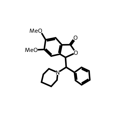 COc1cc2c(cc1OC)C(C(c1ccccc1)N1CCCCC1)OC2=O